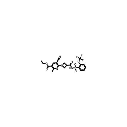 CCOC(=O)c1cc(C#N)c(N2CC(C(=O)NS(=O)(=O)c3ccccc3OC(F)(F)F)C2)nc1C